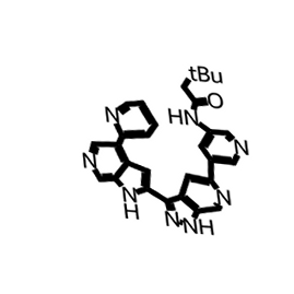 CC(C)(C)CC(=O)Nc1cncc(-c2cc3c(-c4cc5c(-c6ccccn6)cncc5[nH]4)n[nH]c3cn2)c1